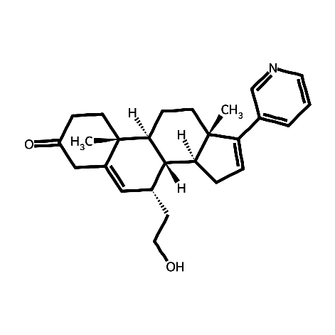 C[C@]12CCC(=O)CC1=C[C@@H](CCO)[C@@H]1[C@@H]2CC[C@]2(C)C(c3cccnc3)=CC[C@@H]12